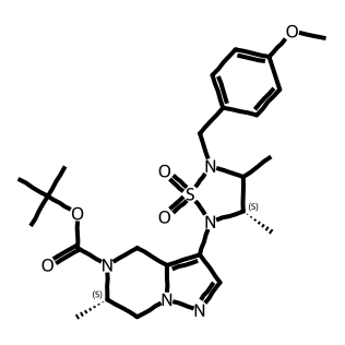 COc1ccc(CN2C(C)[C@H](C)N(c3cnn4c3CN(C(=O)OC(C)(C)C)[C@@H](C)C4)S2(=O)=O)cc1